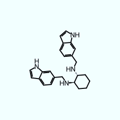 c1cc2ccc(CN[C@@H]3CCCC[C@H]3NCc3ccc4cc[nH]c4c3)cc2[nH]1